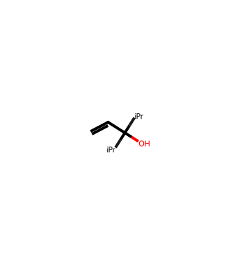 C=CC(O)(C(C)C)C(C)C